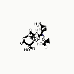 Nc1nc(/C(=N/OC2(C(=O)O)CC2)C(=O)N[C@@H]2C(=O)N3COC(=O)C[C@H](C(=O)O)C[S+]([O-])[C@H]23)cs1